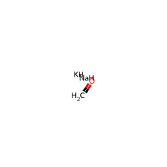 C=O.[KH].[NaH]